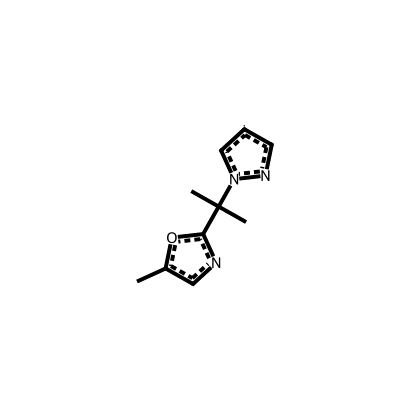 Cc1cnc(C(C)(C)n2c[c]cn2)o1